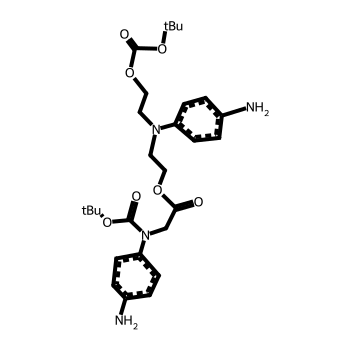 CC(C)(C)OC(=O)OCCN(CCOC(=O)CN(C(=O)OC(C)(C)C)c1ccc(N)cc1)c1ccc(N)cc1